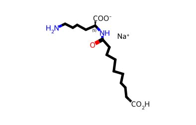 NCCCC[C@H](NC(=O)CCCCCCCCC(=O)O)C(=O)[O-].[Na+]